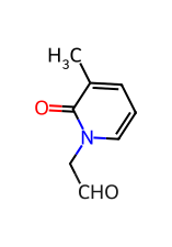 Cc1cccn(CC=O)c1=O